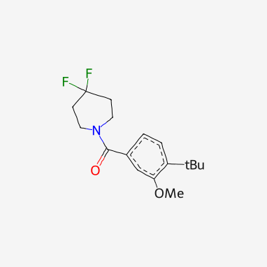 COc1cc(C(=O)N2CCC(F)(F)CC2)ccc1C(C)(C)C